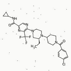 CC[C@H]1CN(c2ncc(C(=O)NC3CC3)nc2C(F)(F)F)CCN1C1CCN(C(=O)c2ccc(Cl)cc2)CC1